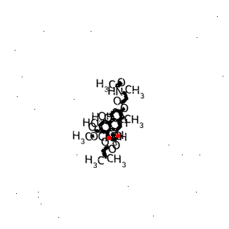 COC(=O)C1(C)[C@@H](O)[C@H](O)C2[C@@]3(CO)[C@@H](C[C@H]4C(C)=C(OC(=O)C[C@H](C)NC(C)=O)CC[C@]24C)OC(=O)[C@H](OC(=O)C=C(C)C)[C@@H]13